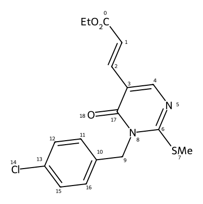 CCOC(=O)C=Cc1cnc(SC)n(Cc2ccc(Cl)cc2)c1=O